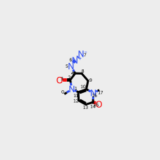 CN1C(=O)C(N=[N+]=[N-])CCc2c1ccc(=O)n2C